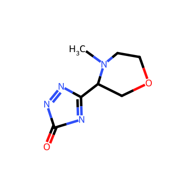 CN1CCOCC1C1=NC(=O)N=N1